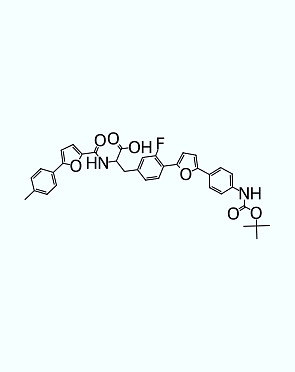 Cc1ccc(-c2ccc(C(=O)NC(Cc3ccc(-c4ccc(-c5ccc(NC(=O)OC(C)(C)C)cc5)o4)c(F)c3)C(=O)O)o2)cc1